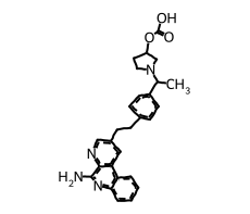 CC(c1ccc(CCc2cnc3c(N)nc4ccccc4c3c2)cc1)N1CCC(OC(=O)O)C1